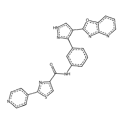 O=C(Nc1cccc(-c2n[nH]cc2-c2nc3ncccc3o2)c1)c1csc(-c2ccncc2)n1